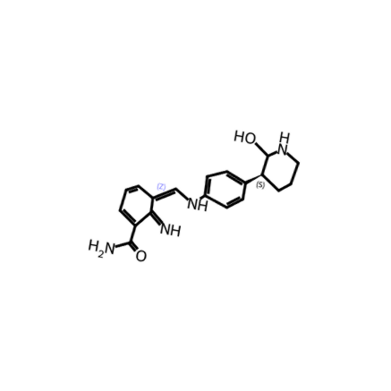 N=C1C(C(N)=O)=CC=C/C1=C/Nc1ccc([C@@H]2CCCNC2O)cc1